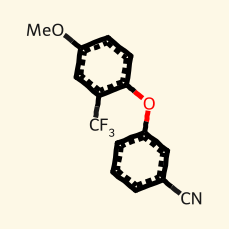 COc1ccc(Oc2cccc(C#N)c2)c(C(F)(F)F)c1